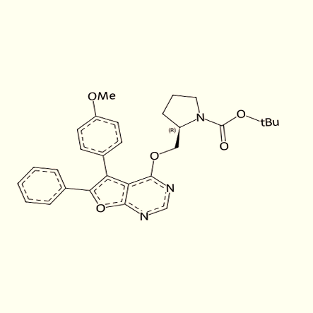 COc1ccc(-c2c(-c3ccccc3)oc3ncnc(OC[C@H]4CCCN4C(=O)OC(C)(C)C)c23)cc1